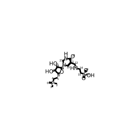 C=P(C)(C)CC[C@H]1O[C@@H](N2C=C(CNCCS(=O)(=O)O)C(=O)NC2)[C@H](O)[C@@H]1O